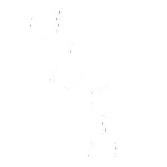 CCOC(=O)C1CCCN/C1=N\NC(=O)C(COCc1ccccc1)NC(=O)OC(C)(C)C